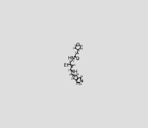 CCC1(CCNC(=O)CCC2CCOCC2)CC1CNCN1Cc2ccncc2C1